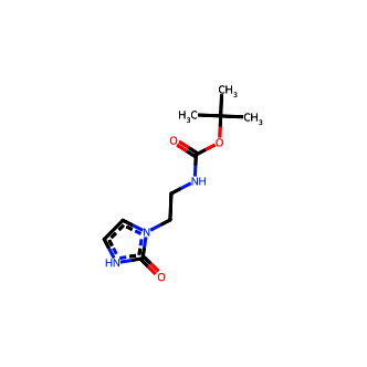 CC(C)(C)OC(=O)NCCn1cc[nH]c1=O